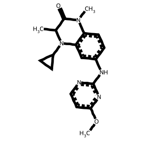 COc1ccnc(Nc2ccc3c(c2)N(C2CC2)C(C)C(=O)N3C)n1